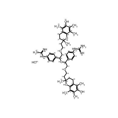 Cc1c(C)c2c(c(C)c1O)CCC(C)(CCOCC(OC(COCCC1(C)CCc3c(C)c(O)c(C)c(C)c3O1)c1ccc(NC(=N)N)cc1)c1ccc(NC(=N)N)cc1)O2.Cl